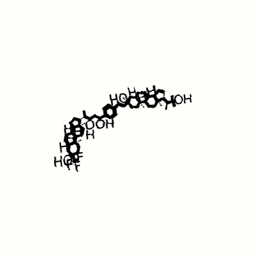 CC([C@H]1CC[C@H]2[C@@H]3CC[C@H]4C[C@](O)(C(F)(F)F)CC[C@]4(C)[C@H]3CC[C@]12C)[C@@H](O)C[C@H](O)c1ccc(CC[C@]2(O)CC[C@@]3(C)[C@@H](CCC4[C@@H]3CC[C@]3(C)[C@@H]([C@H](C)C(C)(C)O)CC[C@@H]43)C2)cc1